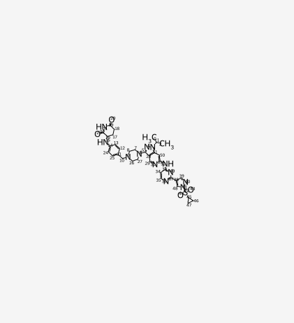 CC(C)n1nc(N2CCN(Cc3ccc(NC4CCC(=O)NC4=O)cc3)CC2)c2cnc(Nc3ccnc(-c4cnn(S(=O)(=O)C5CC5)c4)n3)cc21